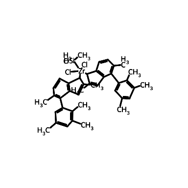 CC1=Cc2c(ccc(C)c2-c2cc(C)cc(C)c2C)[CH]1[Zr]([Cl])([Cl])([CH]1C(C)=Cc2c1ccc(C)c2-c1cc(C)cc(C)c1C)[SiH](C)C